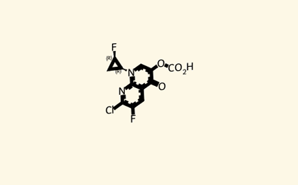 O=C(O)Oc1cn([C@@H]2C[C@H]2F)c2nc(Cl)c(F)cc2c1=O